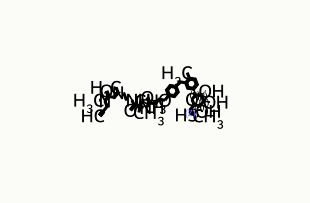 C#CCN(C)C(=O)CN(C)CCNC(=O)C(C)(C)NC(=O)CCOc1ccc(Cc2cc([C@@H]3OC(/C=[SH]\C)[C@@H](O)[C@H](O)[C@H]3O)ccc2C)cc1